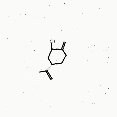 C=C1CC[C@H](C(=C)C)CC1O